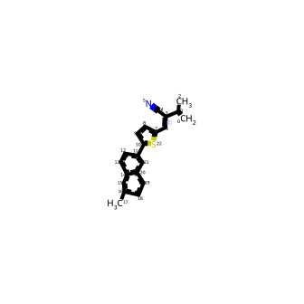 C=C(C)/C(C#N)=C/c1ccc(-c2ccc3cc(C)ccc3c2)s1